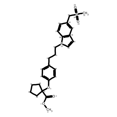 COC(=O)C1(Oc2ccc(CCCn3ccc4cc(CS(C)(=O)=O)ccc43)cc2)CCCC1